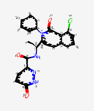 C[C@H](NC(=O)c1ccc(=O)[nH]n1)c1cc2cccc(Cl)c2c(=O)n1-c1ccccc1